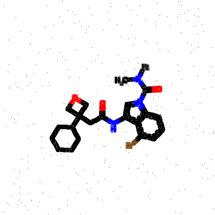 CCN(C)C(=O)n1cc(NC(=O)CC2(C3CCCCC3)COC2)c2c(Br)cccc21